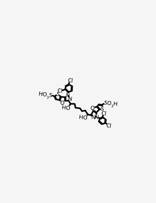 O=S(=O)(O)c1cc2oc3c(C(O)CCCCCC(O)c4nn(-c5ccc(Cl)cc5Cl)c5c4oc4cc(S(=O)(=O)O)sc45)nn(-c4ccc(Cl)cc4Cl)c3c2s1